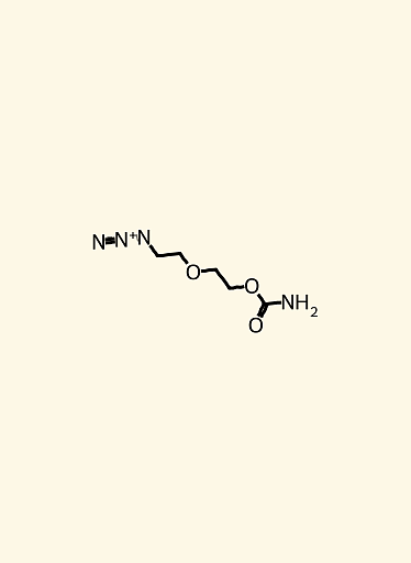 [N-]=[N+]=NCCOCCOC(N)=O